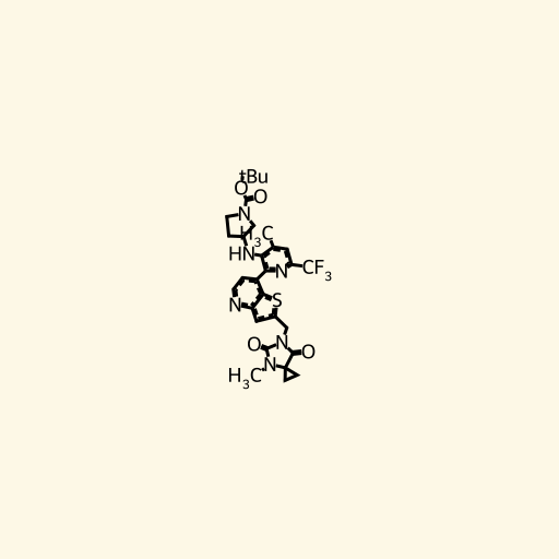 Cc1cc(C(F)(F)F)nc(-c2ccnc3cc(CN4C(=O)N(C)C5(CC5)C4=O)sc23)c1NC1CCN(C(=O)OC(C)(C)C)C1